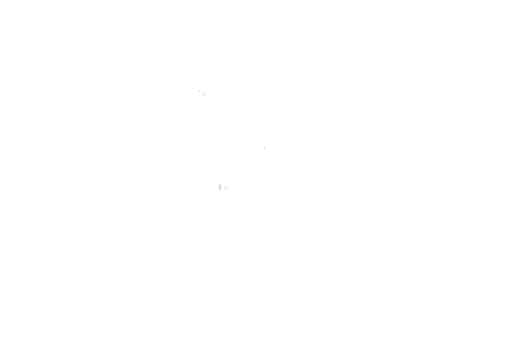 CN(CC[C@H](CSc1ccccc1)Nc1ccc(S(N)(=O)=O)cc1S(=O)(=O)C(F)(F)F)C(=O)OC(C)(C)C